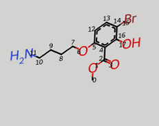 COC(=O)c1c(OCCCCN)ccc(Br)c1O